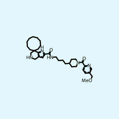 COCc1ccc(C(=O)N2CCC(CCCCNC(=O)c3cc4c([nH]3)C3(CCCCCCCCC3)CNC4)CC2)nc1